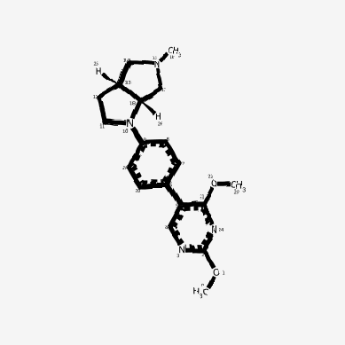 COc1ncc(-c2ccc(N3CC[C@@H]4CN(C)C[C@@H]43)cc2)c(OC)n1